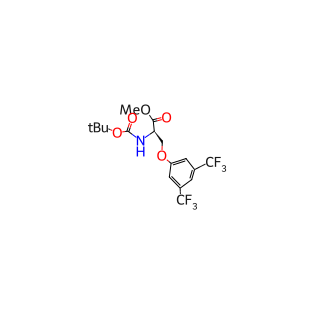 COC(=O)[C@@H](COc1cc(C(F)(F)F)cc(C(F)(F)F)c1)NC(=O)OC(C)(C)C